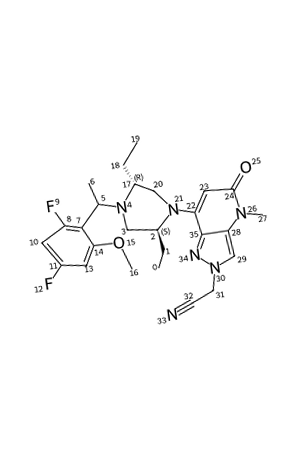 CC[C@H]1CN(C(C)c2c(F)cc(F)cc2OC)[C@H](CC)CN1c1cc(=O)n(C)c2cn(CC#N)nc12